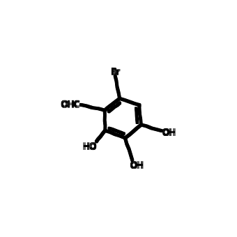 O=Cc1c(Br)cc(O)c(O)c1O